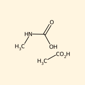 CC(=O)O.CNC(=O)O